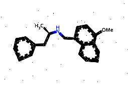 COc1ccc(CN[C@H](C)Cc2ccccc2)c2ccccc12